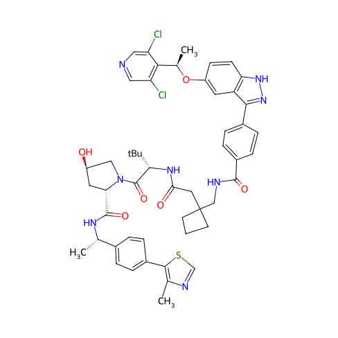 Cc1ncsc1-c1ccc([C@H](C)NC(=O)[C@@H]2C[C@@H](O)CN2C(=O)[C@@H](NC(=O)CC2(CNC(=O)c3ccc(-c4n[nH]c5ccc(O[C@H](C)c6c(Cl)cncc6Cl)cc45)cc3)CCC2)C(C)(C)C)cc1